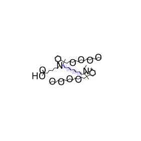 CC[N+]1=C(/C=C/C=C/C=C/C=C2/N(CCCCCC(=O)O)c3ccccc3C2(C)CCOCCOCCOCCOC)C(C)(CCOCCOCCOCCOC)c2ccccc21